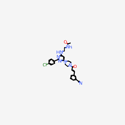 CC(=O)NCCNc1cc(N2CCN(C(=O)/C=C/c3cccc(C#N)c3)CC2)nc(-c2ccc(Cl)cc2)n1